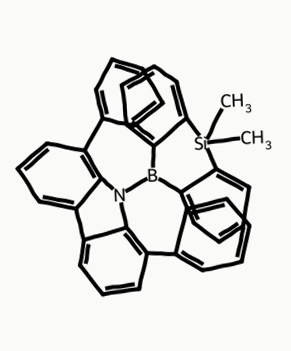 C[Si]1(C)c2ccccc2B(n2c3c(-c4ccccc4)cccc3c3cccc(-c4ccccc4)c32)c2ccccc21